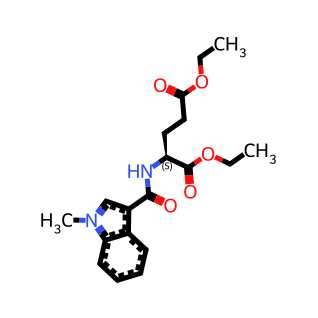 CCOC(=O)CC[C@H](NC(=O)c1cn(C)c2ccccc12)C(=O)OCC